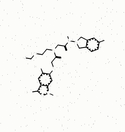 CCNCCN(CC(=O)N(C)N1Cc2ccc(F)cc2C1)C(=O)CNc1cc2c(cc1C)c(C)nn2C.Cl